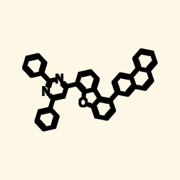 c1ccc(-c2cc(-c3cccc4c3oc3cccc(-c5ccc6c(ccc7ccccc76)c5)c34)nc(-c3ccccc3)n2)cc1